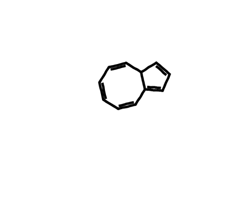 C1=CC2\C=C/C=C\C=C/C2=C1